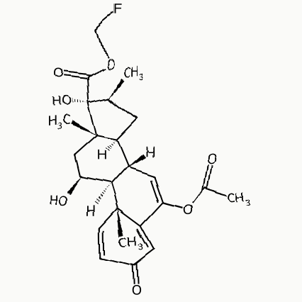 CC(=O)OC1=C[C@@H]2[C@H]([C@@H](O)C[C@@]3(C)[C@H]2C[C@H](C)[C@]3(O)C(=O)OCF)[C@@]2(C)C=CC(=O)C=C12